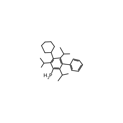 CC(C)c1c(P)c(C(C)C)c(C2CCCCC2)c(C(C)C)c1-c1ccccc1